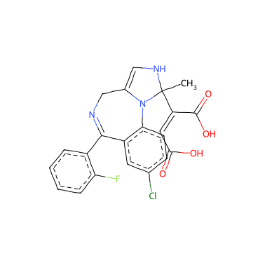 CC1(C(=CC(=O)O)C(=O)O)NC=C2CN=C(c3ccccc3F)c3cc(Cl)ccc3N21